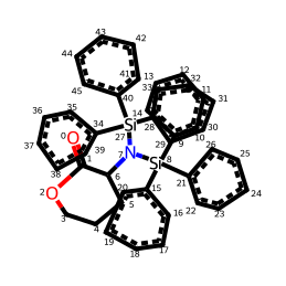 O=C1OCCCC1N([Si](c1ccccc1)(c1ccccc1)c1ccccc1)[Si](c1ccccc1)(c1ccccc1)c1ccccc1